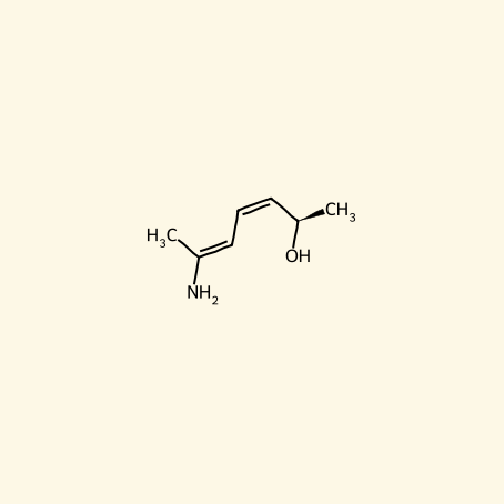 C/C(N)=C\C=C/[C@@H](C)O